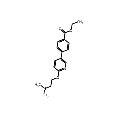 CCOC(=O)c1ccc(-c2ccc(OCCN(C)C)nc2)cc1